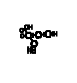 Cl.Cl.O=C(O)c1cn(-c2ccc(N3CCNCC3)cc2)c(-c2ccccc2)cc1=O